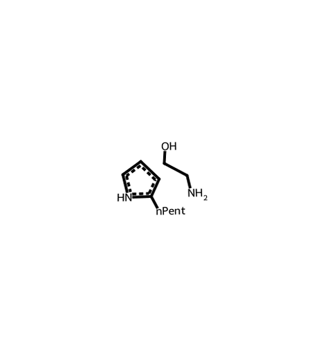 CCCCCc1ccc[nH]1.NCCO